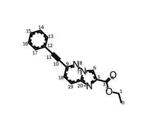 CCOC(=O)c1cn2nc(C#Cc3ccccc3)ccc2n1